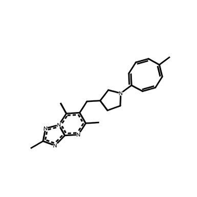 CC1=C/C=C\C(N2CCC(Cc3c(C)nc4nc(C)nn4c3C)C2)=C/C=C\1